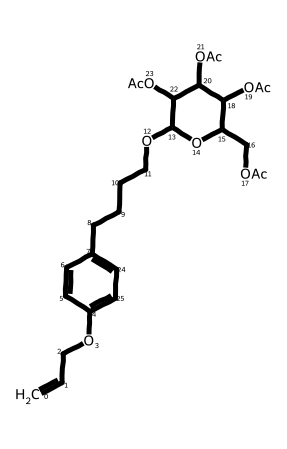 C=CCOc1ccc(CCCCOC2OC(COC(C)=O)C(OC(C)=O)C(OC(C)=O)C2OC(C)=O)cc1